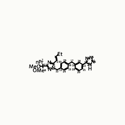 CCC=Cc1nc(C(CCC)(OC)OC)nn1Cc1ccc(Cc2cccc(-c3nnn[nH]3)c2)cc1